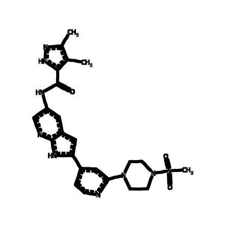 Cc1n[nH]c(C(=O)Nc2cnc3[nH]c(-c4ccnc(N5CCN(S(C)(=O)=O)CC5)c4)cc3c2)c1C